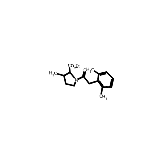 CCOC(=O)C1C(C)CCN1C(=O)Cc1c(C)cccc1C